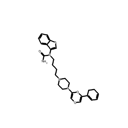 NC(=O)N(CCCCN1CCN(C2=COC=C(C3=CC=CCC3)O2)CC1)c1csc2ccccc12